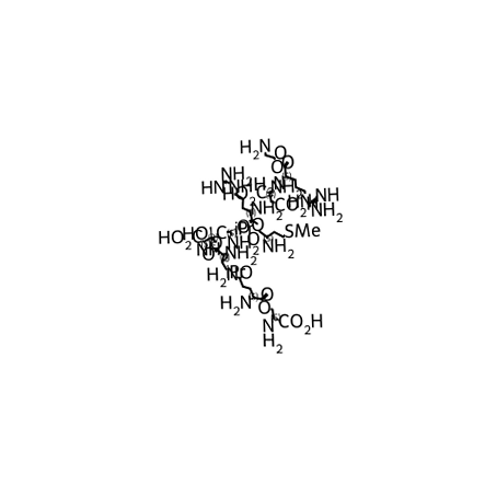 CC(C)C[C@H](N)C(=O)O[C@H](C)[C@H](N)C(=O)O.CC(C)[C@H](N)C(=O)O.CSCC[C@H](N)C(=O)OC(=O)[C@@H](N)CCCNC(=N)N.N=C(N)NCCC[C@H](N)C(=O)OC(=O)CN.NC(=O)CC[C@H](N)C(=O)OC[C@H](N)C(=O)O.N[C@@H](CC(=O)O)C(=O)O